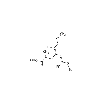 C=CC/C(F)=C(\C=C(/CC)OCC)C[C@@H](C)NC=O